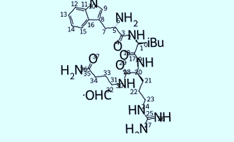 CC[C@H](C)[C@H](NC(=O)[C@@H](N)Cc1c[nH]c2ccccc12)C(=O)N[C@@H](CCCNC(=N)N)C(=O)N[C@H]([C]=O)CCC(N)=O